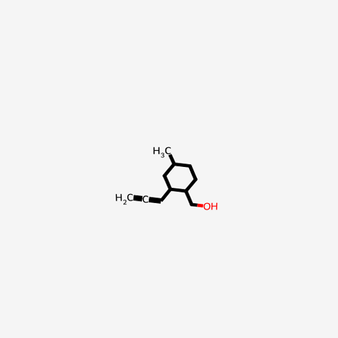 C=C=CC1CC(C)CCC1CO